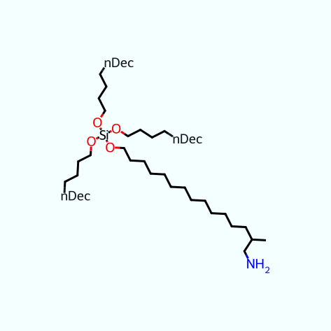 CCCCCCCCCCCCCCO[Si](OCCCCCCCCCCCCCC)(OCCCCCCCCCCCCCC)OCCCCCCCCCCCCCC(C)CN